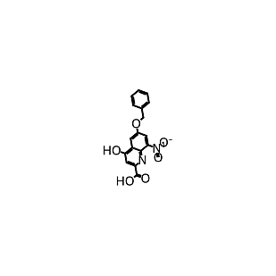 O=C(O)c1cc(O)c2cc(OCc3ccccc3)cc([N+](=O)[O-])c2n1